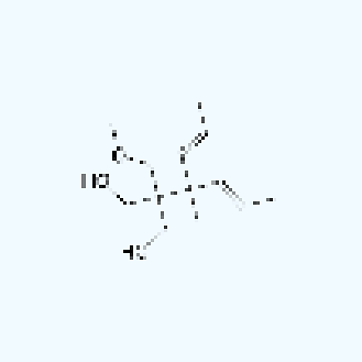 CC=CC(C)(C=CC)C(CO)(CO)COC